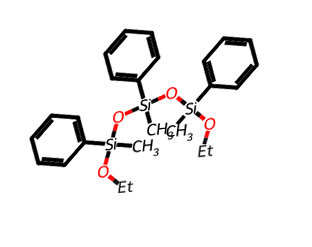 CCO[Si](C)(O[Si](C)(O[Si](C)(OCC)c1ccccc1)c1ccccc1)c1ccccc1